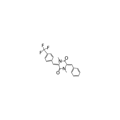 Cn1c(=O)c(=Cc2ccc(C(F)(F)F)cc2)n(C)c(=O)c1=Cc1ccccc1